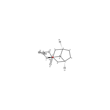 CCCCO[C@H]1C[C@H]2CC[C@@H](C1)N2C(=O)OC(C)(C)C